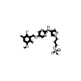 COc1cc(C)c(F)c(COc2cnc(Nc3cnn(CCCOS(C)(=O)=O)c3)nc2)c1F